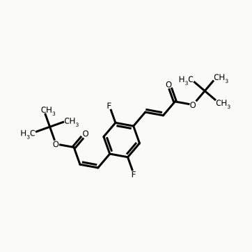 CC(C)(C)OC(=O)C=Cc1cc(F)c(/C=C\C(=O)OC(C)(C)C)cc1F